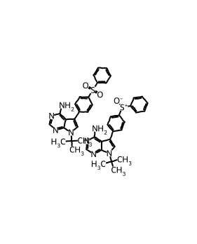 CC(C)(C)n1cc(-c2ccc(S(=O)(=O)c3ccccc3)cc2)c2c(N)ncnc21.CC(C)(C)n1cc(-c2ccc([S+]([O-])c3ccccc3)cc2)c2c(N)ncnc21